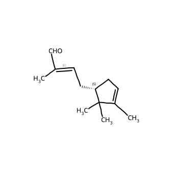 CC1=CC[C@@H](C/C=C(\C)C=O)C1(C)C